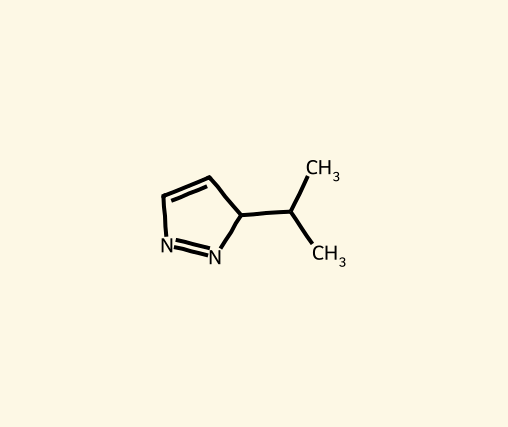 CC(C)C1C=CN=N1